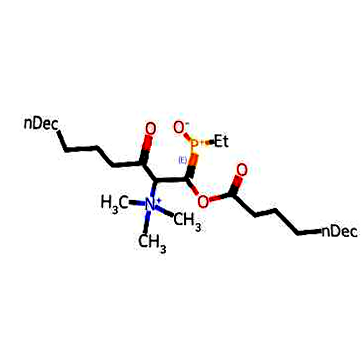 CCCCCCCCCCCCCC(=O)O/C(C(C(=O)CCCCCCCCCCCCC)[N+](C)(C)C)=[P+](/[O-])CC